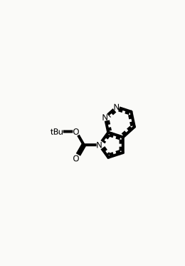 CC(C)(C)OC(=O)n1ccc2ccnnc21